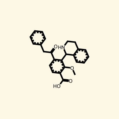 COc1c(C(=O)O)ccc(C(=O)Cc2ccccc2)c1C1NCCc2ccccc21